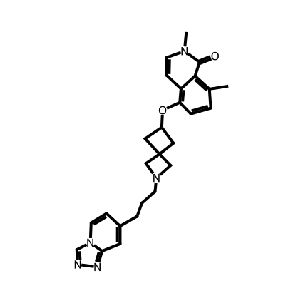 Cc1ccc(OC2CC3(C2)CN(CCCc2ccn4cnnc4c2)C3)c2ccn(C)c(=O)c12